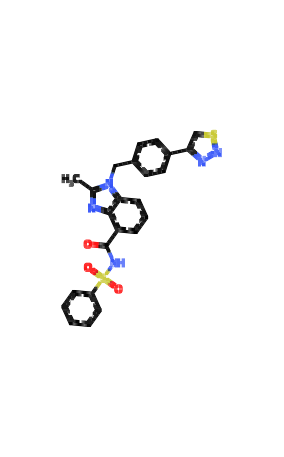 Cc1nc2c(C(=O)NS(=O)(=O)c3ccccc3)cccc2n1Cc1ccc(-c2csnn2)cc1